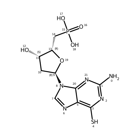 Nc1nc(S)c2ncn([C@H]3C[C@H](O)[C@H](CP(=O)(O)O)O3)c2n1